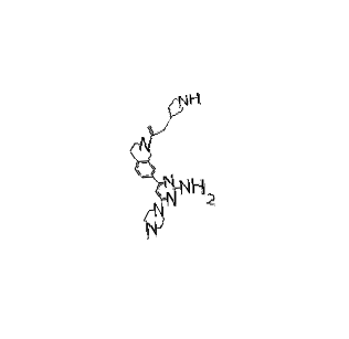 C=C(CC1CCNC1)N1CCc2ccc(-c3cc(N4CCN(C)CC4)nc(N)n3)cc2C1